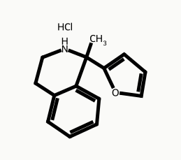 CC1(c2ccco2)NCCc2ccccc21.Cl